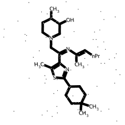 CCC/C=C(C)/N=C(/CN1CCC(C)C(O)C1)c1nc(C2CCC(C)(C)CC2)sc1C